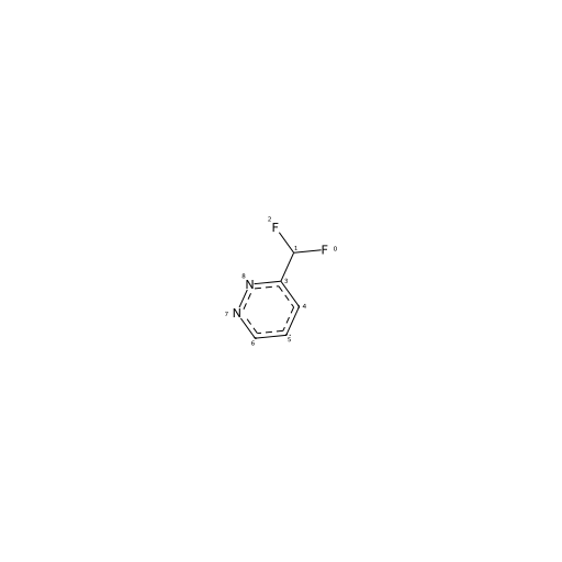 FC(F)c1c[c]cnn1